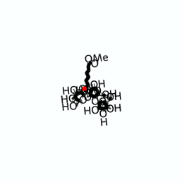 COC(=O)CCCCCCCC[C@]1(O[C@@H]2[C@@H](O)[C@H](O)O[C@H](CO)[C@H]2O[C@@H]2O[C@H](CO)[C@H](O)[C@H](O)[C@H]2O)O[C@H](CO)[C@H](O)[C@H](O)[C@H]1O